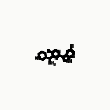 NN(c1nc(-c2c[nH]c3ncc(Cl)cc23)ncc1F)[C@H]1CCCNC1